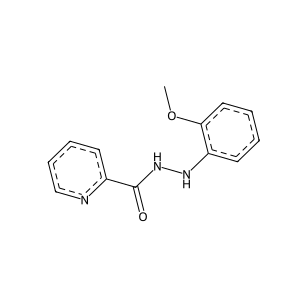 COc1ccccc1NNC(=O)c1ccccn1